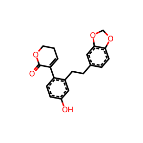 O=C1OCCC=C1c1ccc(O)cc1CCc1ccc2c(c1)OCO2